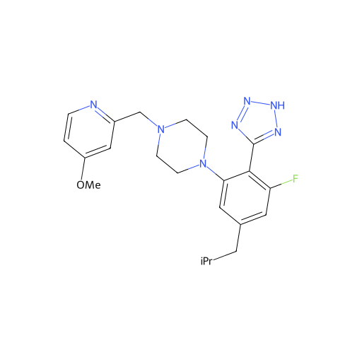 COc1ccnc(CN2CCN(c3cc(CC(C)C)cc(F)c3-c3nn[nH]n3)CC2)c1